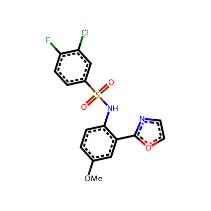 COc1ccc(NS(=O)(=O)c2ccc(F)c(Cl)c2)c(-c2ncco2)c1